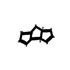 C1=CC2=C3C=CC=C3CC2=C1